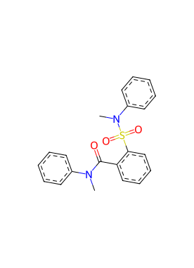 CN(C(=O)c1ccccc1S(=O)(=O)N(C)c1ccccc1)c1ccccc1